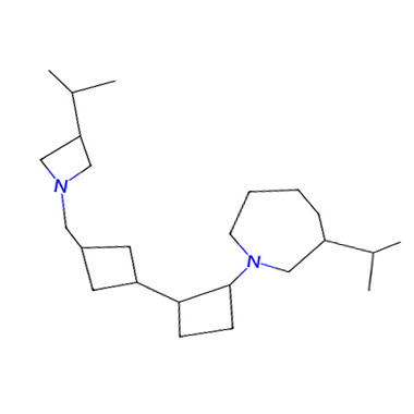 CC(C)C1CN(CC2CC(C3CCC3N3CCCCC(C(C)C)C3)C2)C1